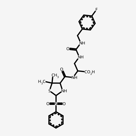 CC1(C)SC(S(=O)(=O)c2ccccc2)NC1C(=O)NC(CNC(=O)NCc1ccc(F)cc1)C(=O)O